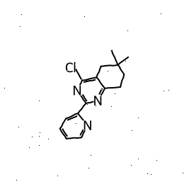 CC1(C)CCc2nc(-c3ccccn3)nc(Cl)c2C1